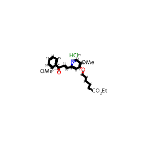 CCOC(=O)CCCCCOc1cc(/C=C/C(=O)c2ccccc2OC)ncc1OC.Cl